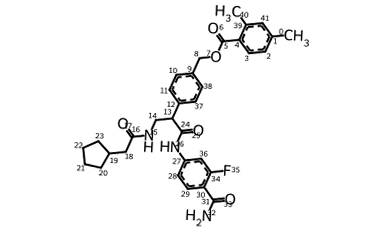 Cc1ccc(C(=O)OCc2ccc(C(CNC(=O)CC3CCCC3)C(=O)Nc3ccc(C(N)=O)c(F)c3)cc2)c(C)c1